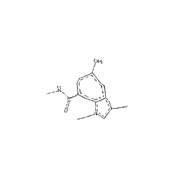 CNC(=O)c1cc(O)cc2c(C)cn(C)c12